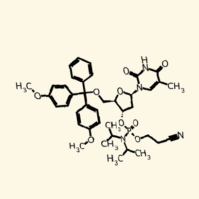 COc1ccc(C(OC[C@H]2O[C@@H](n3cc(C)c(=O)[nH]c3=O)C[C@@H]2OP(=O)(OCCC#N)N(C(C)C)C(C)C)(c2ccccc2)c2ccc(OC)cc2)cc1